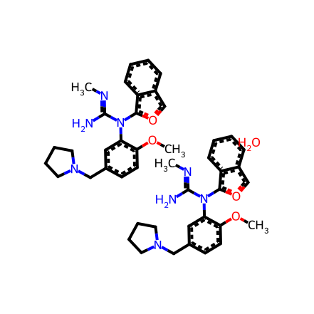 CN=C(N)N(c1cc(CN2CCCC2)ccc1OC)c1occ2ccccc12.CN=C(N)N(c1cc(CN2CCCC2)ccc1OC)c1occ2ccccc12.O